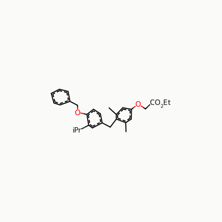 CCOC(=O)COc1cc(C)c(Cc2ccc(OCc3ccccc3)c(C(C)C)c2)c(C)c1